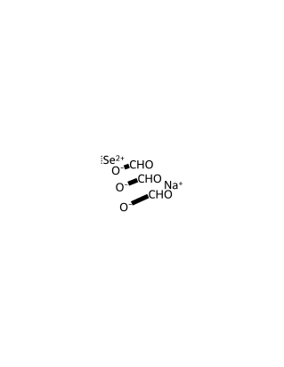 O=C[O-].O=C[O-].O=C[O-].[Na+].[Se+2]